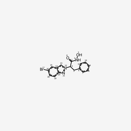 O=C(NO)C(Cc1ccccc1)n1cc2cc(Br)ccc2n1